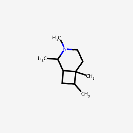 CC1C2CC(C)C2(C)CCN1C